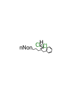 CCCCCCCCCCCCC(Cc1ccccc1)[SiH](Cl)Cl